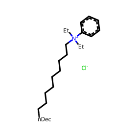 CCCCCCCCCCCCCCCCCCC[N+](CC)(CC)c1ccccc1.[Cl-]